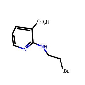 CC(C)(C)CCNc1ncccc1C(=O)O